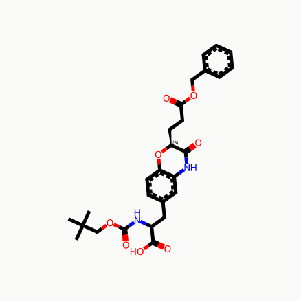 CC(C)(C)COC(=O)NC(Cc1ccc2c(c1)NC(=O)[C@H](CCC(=O)OCc1ccccc1)O2)C(=O)O